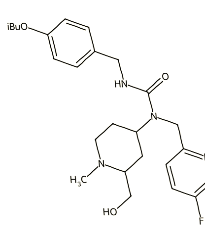 CC(C)COc1ccc(CNC(=O)N(Cc2ccc(F)cn2)C2CCN(C)C(CO)C2)cc1